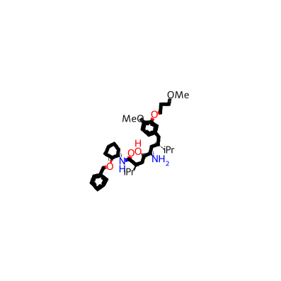 COCCCOc1cc(C[C@@H](C[C@H](N)[C@@H](O)C[C@H](C(=O)N[C@H]2CCCC[C@@H]2OCc2ccccc2)C(C)C)C(C)C)ccc1OC